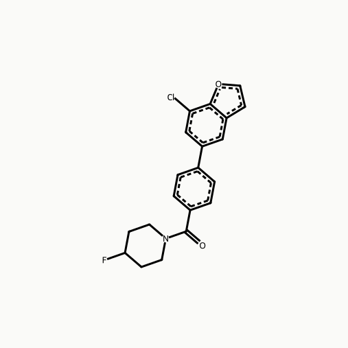 O=C(c1ccc(-c2cc(Cl)c3occc3c2)cc1)N1CCC(F)CC1